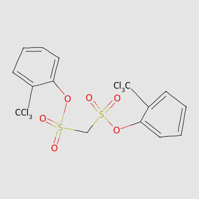 O=S(=O)(CS(=O)(=O)Oc1ccccc1C(Cl)(Cl)Cl)Oc1ccccc1C(Cl)(Cl)Cl